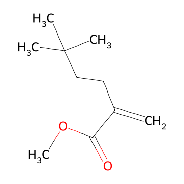 C=C(CCC(C)(C)C)C(=O)OC